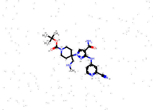 CNCC1(n2cc(C(N)=O)c(Nc3ccnc(C#N)c3)n2)CCN(C(=O)OC(C)(C)C)CC1